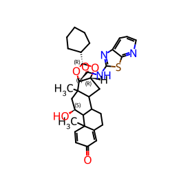 CC12C=CC(=O)C=C1CCC1C2[C@@H](O)CC2(C)C1C[C@H]1O[C@@H](C3CCCCC3)O[C@]12C(=O)Nc1nc2cccnc2s1